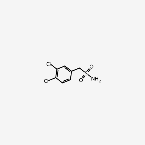 NS(=O)(=O)Cc1ccc(Cl)c(Cl)c1